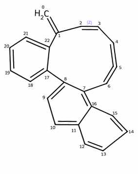 C=C1/C=C\C=C=Cc2c(ccc3ccccc23)-c2ccccc21